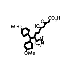 COc1ccc(C(=C(C=CC(O)CC(=O)CC(=O)O)c2nnnn2C)c2ccc(OC)cc2)cc1